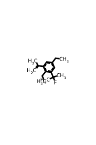 C=C(C)c1cc(CC)cc(C(C)(C)F)c1CC